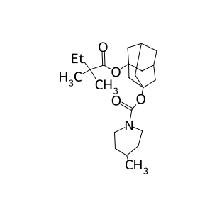 CCC(C)(C)C(=O)OC12CC3CC(CC(OC(=O)N4CCC(C)CC4)(C3)C1)C2